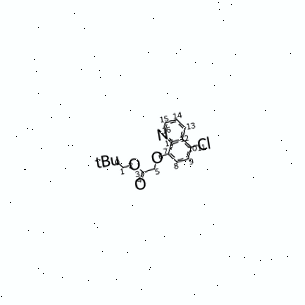 CC(C)(C)COC(=O)COc1ccc(Cl)c2cccnc12